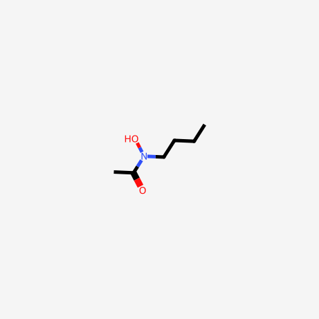 CCCCN(O)C(C)=O